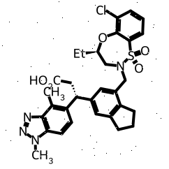 CC[C@@H]1CN(Cc2cc([C@@H](CC(=O)O)c3ccc4c(nnn4C)c3C)cc3c2CCC3)S(=O)(=O)c2cccc(Cl)c2O1